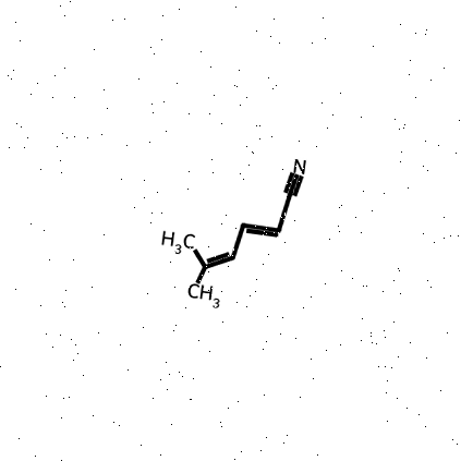 CC(C)=C/C=C/C#N